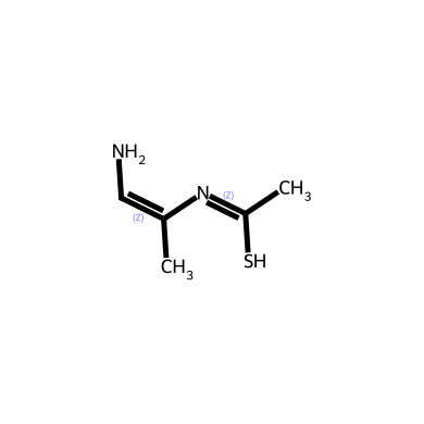 CC(=C/N)/N=C(/C)S